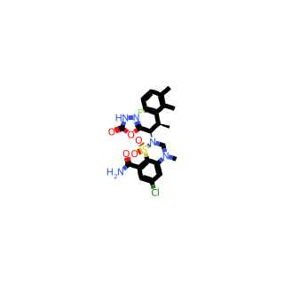 Cc1ccc(F)c([C@@H](C)[C@@H](c2n[nH]c(=O)o2)N2CN(C)c3cc(Cl)cc(C(N)=O)c3S2(=O)=O)c1C